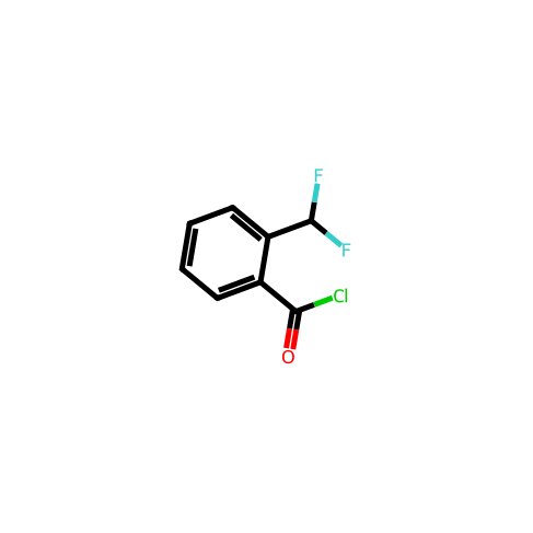 O=C(Cl)c1ccccc1C(F)F